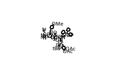 COc1ccc(COC(=O)C2=C(CSc3nnnn3CCN(C)C)CS[C@H]3[C@H](NC(=O)/C(=N\O[C@H](Sc4ccc(OC(C)=O)c(OC(C)=O)c4)C(=O)OC(C)(C)C)c4csc(NC(c5ccccc5)(c5ccccc5)c5ccccc5)n4)C(=O)N23)cc1